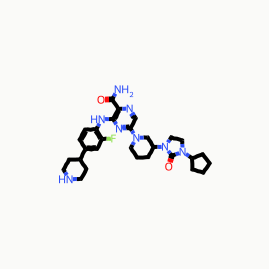 NC(=O)c1ncc(N2CCCC(N3CCN(C4CCCC4)C3=O)C2)nc1Nc1ccc(C2CCNCC2)cc1F